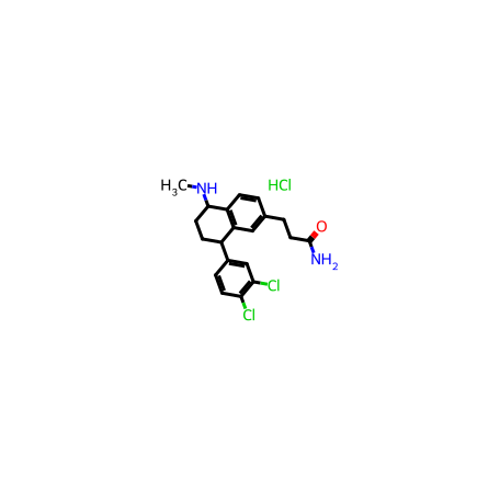 CNC1CCC(c2ccc(Cl)c(Cl)c2)c2cc(CCC(N)=O)ccc21.Cl